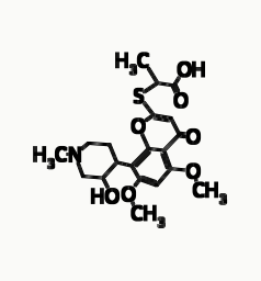 COc1cc(OC)c2c(=O)cc(SC(C)C(=O)O)oc2c1C1CCN(C)CC1O